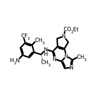 CCOC(=O)N1Cc2c(N[C@H](C)c3cc(N)cc(C(F)(F)F)c3C)nc3cnc(C)n3c2C1